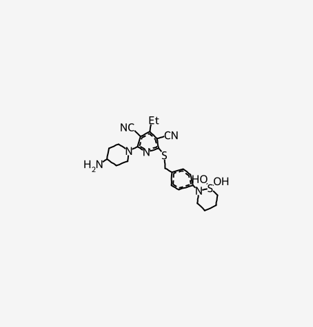 CCc1c(C#N)c(SCc2ccc(N3CCCCS3(O)O)cc2)nc(N2CCC(N)CC2)c1C#N